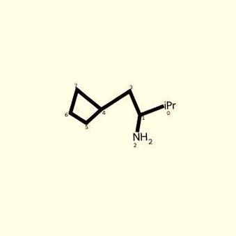 CC(C)C(N)CC1CCC1